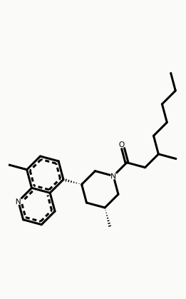 CCCCCC(C)CC(=O)N1C[C@H](C)C[C@H](c2ccc(C)c3ncccc23)C1